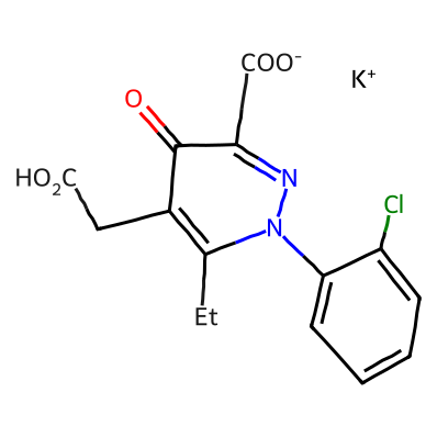 CCc1c(CC(=O)O)c(=O)c(C(=O)[O-])nn1-c1ccccc1Cl.[K+]